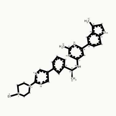 CCN1CCN(c2ncc(-c3cccc([C@H](C)Nc4cc(-c5ccc6occ(C)c6c5)nc(C)n4)c3)cn2)CC1